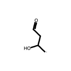 [CH2]C(O)CC=O